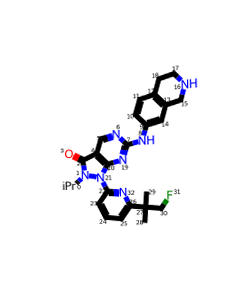 CC(C)n1c(=O)c2cnc(Nc3ccc4c(c3)CNCC4)nc2n1-c1cccc(C(C)(C)CF)n1